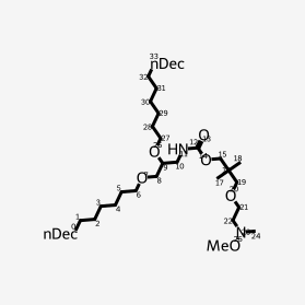 CCCCCCCCCCCCCCCCOCC(CNC(=O)OCC(C)(C)COCCN(C)OC)OCCCCCCCCCCCCCCCC